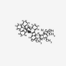 CCc1nc2c(C)cc(C(C)(C)O)nc2n1Cc1c2ccocc-2c(Br)c1-c1ccccc1-c1nnn(C(c2ccccc2)(c2ccccc2)c2ccccc2)n1